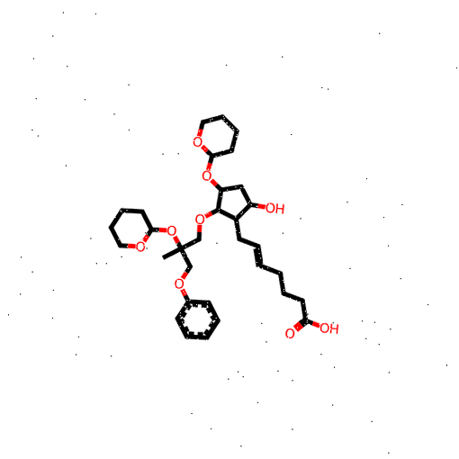 CC(COc1ccccc1)(COC1C(OC2CCCCO2)CC(O)C1CC=CCCCC(=O)O)OC1CCCCO1